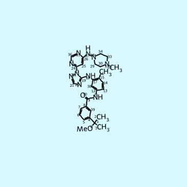 COC(C)(C)c1cccc(C(=O)Nc2ccc(C)c(Nc3ncnn3-c3cc(NN4CCN(C)CC4)ncn3)c2)c1